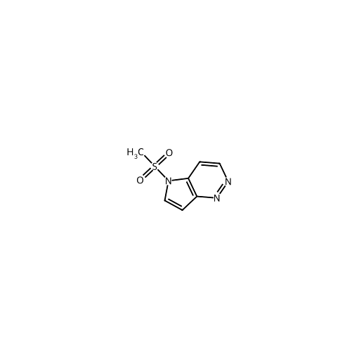 CS(=O)(=O)n1ccc2nnccc21